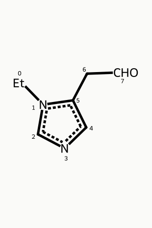 CCn1cncc1CC=O